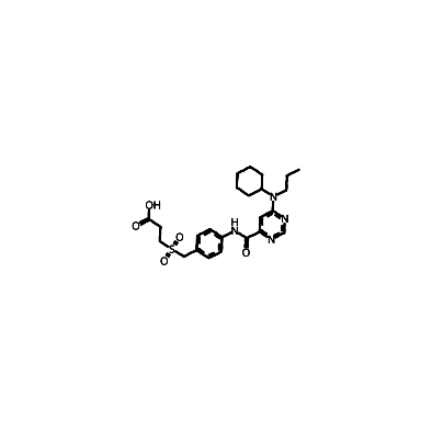 CCCN(c1cc(C(=O)Nc2ccc(CS(=O)(=O)CCC(=O)O)cc2)ncn1)C1CCCCC1